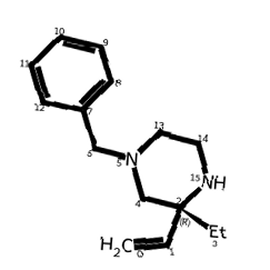 C=C[C@]1(CC)CN(Cc2ccccc2)CCN1